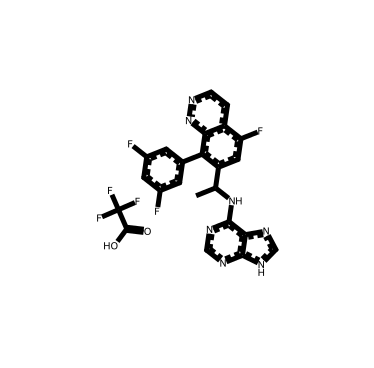 CC(Nc1ncnc2[nH]cnc12)c1cc(F)c2ccnnc2c1-c1cc(F)cc(F)c1.O=C(O)C(F)(F)F